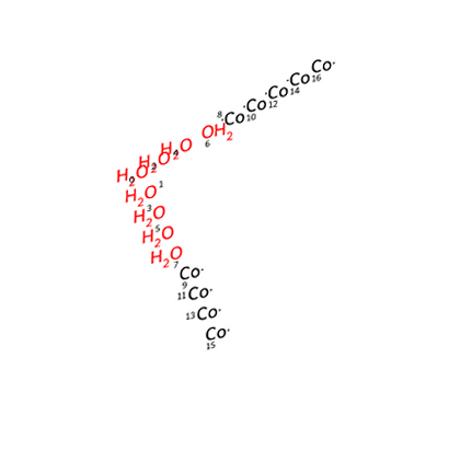 O.O.O.O.O.O.O.O.[Co].[Co].[Co].[Co].[Co].[Co].[Co].[Co].[Co]